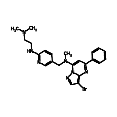 CN(C)CCNc1ccc(CN(C)c2cc(-c3ccccc3)nc3c(Br)cnn23)cn1